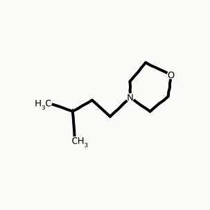 C[C](C)CCN1CCOCC1